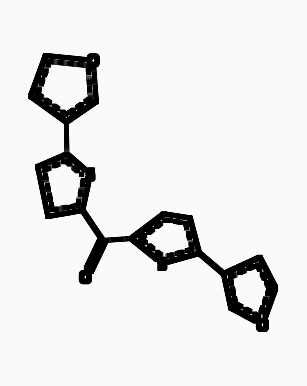 O=C(c1ccc(-c2ccoc2)s1)c1ccc(-c2ccoc2)s1